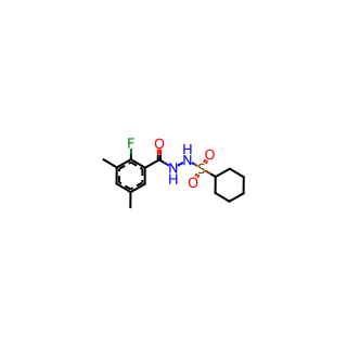 Cc1cc(C)c(F)c(C(=O)NNS(=O)(=O)C2CCCCC2)c1